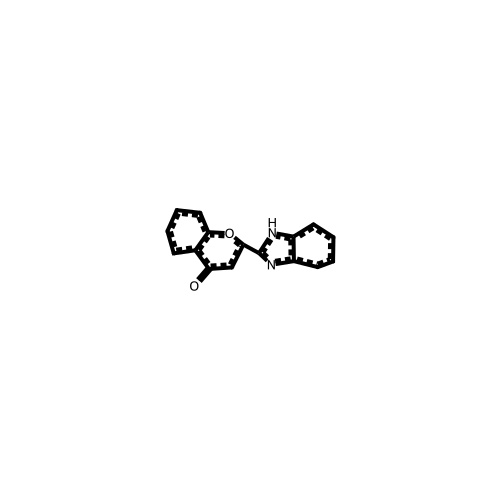 O=c1cc(-c2nc3ccccc3[nH]2)oc2ccccc12